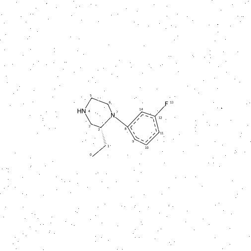 CC[C@@H]1CNCCN1c1cccc(F)c1